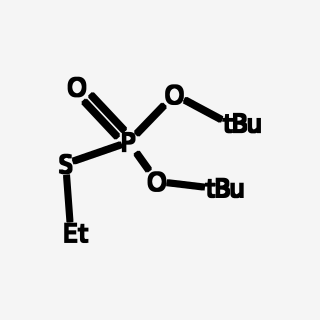 CCSP(=O)(OC(C)(C)C)OC(C)(C)C